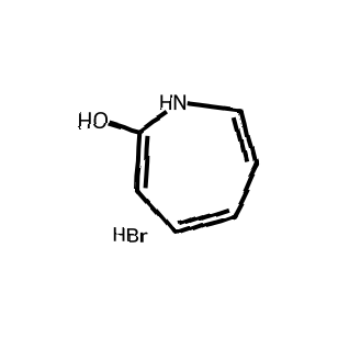 Br.OC1=CC=CC=CN1